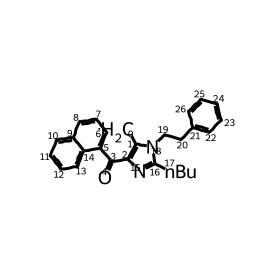 [CH2]c1c(C(=O)c2cccc3ccccc23)nc(CCCC)n1CCc1ccccc1